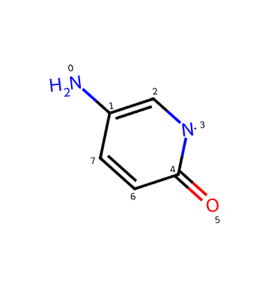 NC1=C[N]C(=O)C=C1